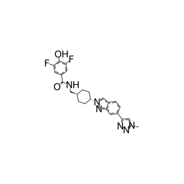 Cn1cc(-c2ccc3cn([C@H]4CC[C@H](CNC(=O)c5cc(F)c(O)c(F)c5)CC4)nc3c2)nn1